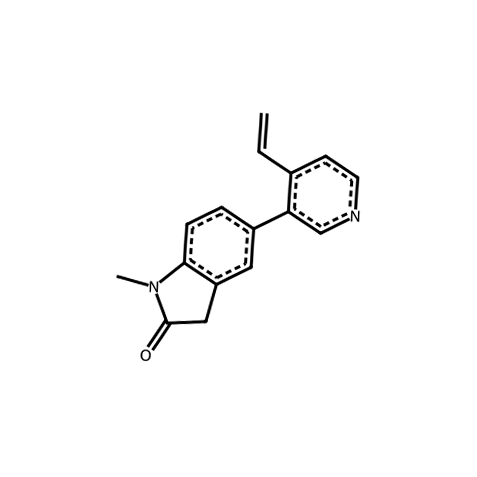 C=Cc1ccncc1-c1ccc2c(c1)CC(=O)N2C